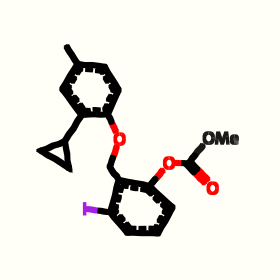 COC(=O)Oc1cccc(I)c1COc1ccc(C)cc1C1CC1